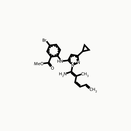 C=C/C=C\C(C)=C(/N)n1nc(C2CC2)cc1Nc1ccc(Br)cc1C(=O)OC